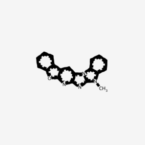 Cn1c2ccccc2n2c3cc4c(nc3nc12)oc1ccccc14